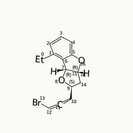 CCc1cccc2c1[C@H]1O[C@H](C=C=CBr)C[C@H]1O2